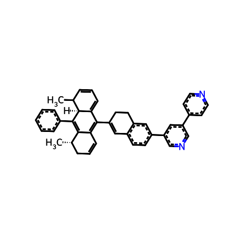 CC1C=CC=C2C(C3=Cc4ccc(-c5cncc(-c6ccncc6)c5)cc4CC3)=C3C=CC[C@H](C)C3=C(c3ccccc3)[C@H]21